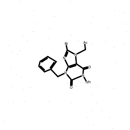 CCCn1c(=O)c2c(nc(Br)n2CC(C)=O)n(Cc2ccccc2)c1=O